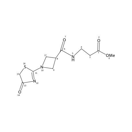 COC(=O)CCNC(=O)C1CN(C2=NC(=O)CS2)C1